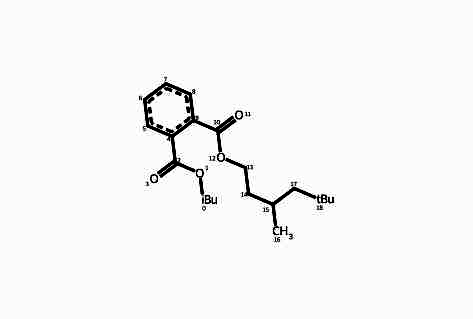 CCC(C)OC(=O)c1ccccc1C(=O)OCCC(C)CC(C)(C)C